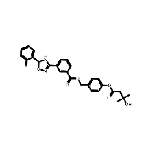 CC(C)(O)CC(=O)Oc1ccc(COC(=O)c2cccc(C3=NOC(c4ccccc4F)N3)c2)cc1